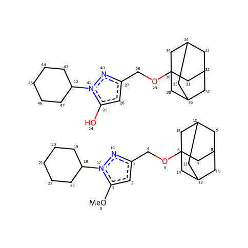 COc1cc(COC23CC4CC(CC(C4)C2)C3)nn1C1CCCCC1.Oc1cc(COC23CC4CC(CC(C4)C2)C3)nn1C1CCCCC1